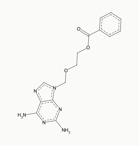 Nc1nc(N)c2ncn(COCCOC(=O)c3ccccc3)c2n1